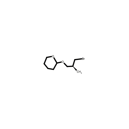 C[C@H](CBr)COC1CCCCO1